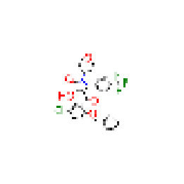 O=C(C1=C(O)C(=O)N(C2CCOCC2)[C@@H]1c1ccc(C(F)(F)F)cc1)c1cc(Cl)ccc1OCc1ccccc1